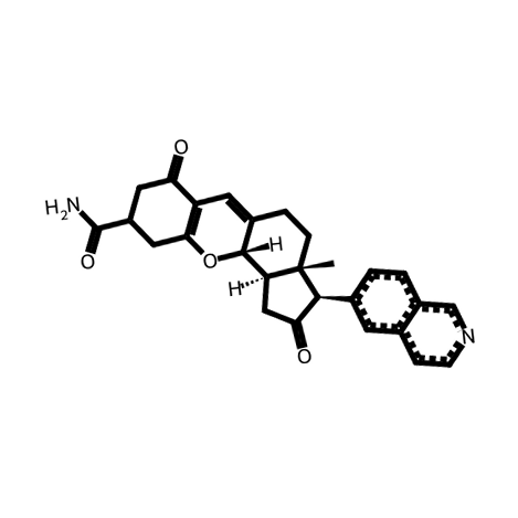 C[C@]12CCC3=CC4=C(CC(C(N)=O)CC4=O)O[C@H]3[C@@H]1CC(=O)[C@@H]2c1ccc2cnccc2c1